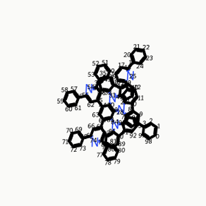 c1ccc(-c2ccc3c(c2)c2ccc(-c4cccc(-c5ccccc5)n4)cc2n3-c2c(-n3c4ccccc4c4ccccc43)c(-c3cc(-c4ccccc4)nc(-c4ccccc4)c3)cc(-c3cc(-c4ccccc4)nc(-c4ccccc4)c3)c2-n2c3ccccc3c3ccccc32)cc1